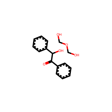 O=C(c1ccccc1)C(O)c1ccccc1.OCOCO